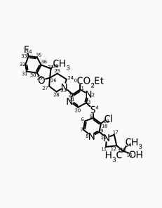 CCOC(=O)c1nc(Sc2ccnc(N3CC(C(C)(C)O)C3)c2Cl)cnc1N1CCC2(CC1)Oc1ccc(F)cc1[C@H]2C